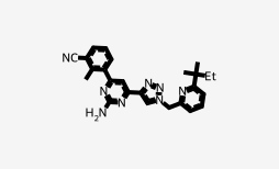 CCC(C)(C)c1cccc(Cn2cc(-c3cc(-c4cccc(C#N)c4C)nc(N)n3)nn2)n1